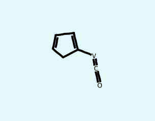 O=[C]=[V][C]1=CC=CC1